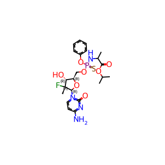 CC(C)OC(=O)C(C)NP(=S)(OC[C@H]1O[C@@H](n2ccc(N)nc2=O)[C@](C)(F)[C@@H]1O)Oc1ccccc1